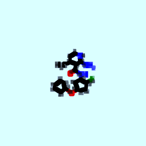 Cc1ccnc(N)c1C(=O)Nc1cc(Oc2ccccc2)ccc1F